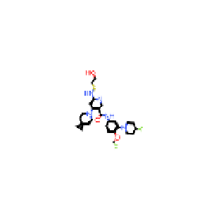 O=C(Nc1ccc(OCF)c(N2CCC(F)CC2)c1)c1cnc(NSCCO)cc1N1CCC2(CC1)CC2